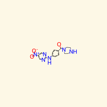 O=C(c1ccc(Nc2ncc([N+](=O)[O-])cn2)cc1)N1CCNCC1